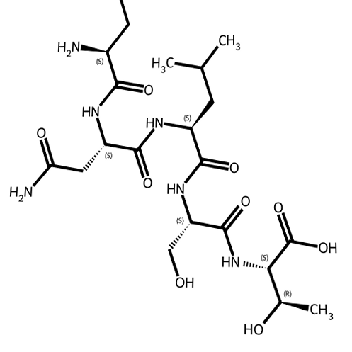 CC(C)C[C@H](NC(=O)[C@H](CC(N)=O)NC(=O)[C@@H](N)CO)C(=O)N[C@@H](CO)C(=O)N[C@H](C(=O)O)[C@@H](C)O